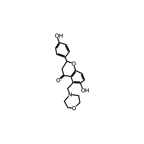 O=C1CC(c2ccc(O)cc2)Oc2ccc(O)c(CN3CCOCC3)c21